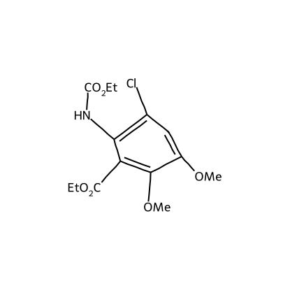 CCOC(=O)Nc1c(Cl)cc(OC)c(OC)c1C(=O)OCC